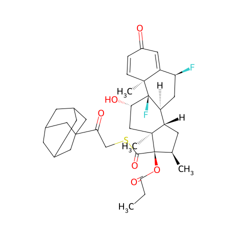 CCC(=O)O[C@]1(C(=O)SCC(=O)C23CC4CC(CC(C4)C2)C3)[C@H](C)C[C@H]2[C@@H]3C[C@H](F)C4=CC(=O)C=C[C@]4(C)[C@@]3(F)[C@@H](O)C[C@@]21C